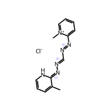 Cc1ccc[nH]\c1=N/N=C/N=N/c1cccc[n+]1C.[Cl-]